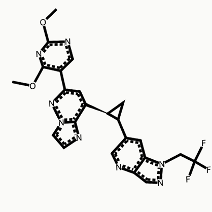 COc1ncc(-c2cc([C@H]3CC3c3cnc4cnn(CC(F)(F)F)c4c3)c3nccn3n2)c(OC)n1